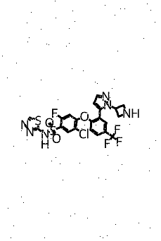 O=S(=O)(Nc1nncs1)c1cc(Cl)c(Oc2ccc(C(F)(F)F)cc2-c2ccnn2C2CNC2)cc1F